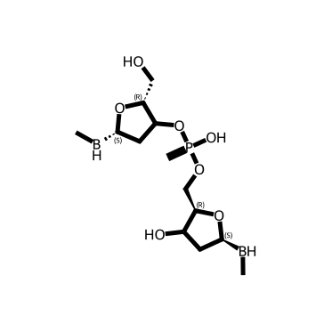 C=P(O)(OC[C@H]1O[C@@H](BC)CC1O)OC1C[C@H](BC)O[C@@H]1CO